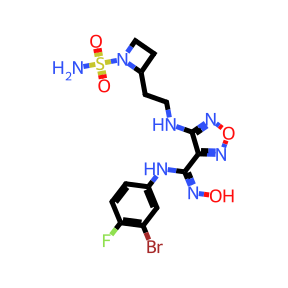 NS(=O)(=O)N1CCC1CCNc1nonc1C(=NO)Nc1ccc(F)c(Br)c1